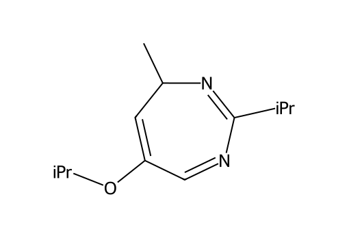 CC1C=C(OC(C)C)C=NC(C(C)C)=N1